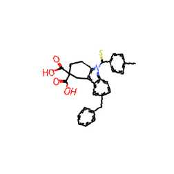 Cc1ccc(C(=S)n2c3c(c4cc(Cc5ccccc5)ccc42)CC(C(=O)O)(C(=O)O)CC3)cc1